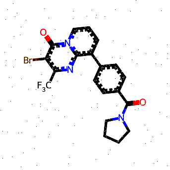 O=C(c1ccc(-c2cccn3c(=O)c(Br)c(C(F)(F)F)nc23)cc1)N1CCCC1